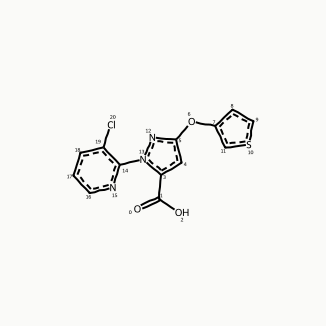 O=C(O)c1cc(Oc2ccsc2)nn1-c1ncccc1Cl